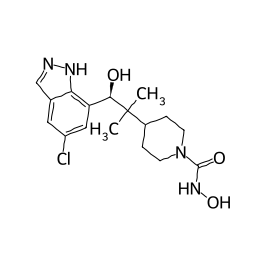 CC(C)(C1CCN(C(=O)NO)CC1)[C@H](O)c1cc(Cl)cc2cn[nH]c12